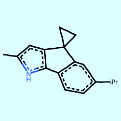 Cc1cc2c([nH]1)-c1ccc(C(C)C)cc1C21CC1